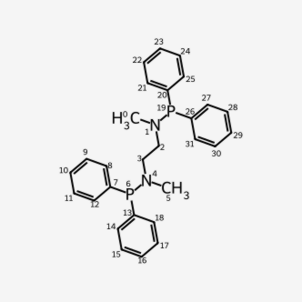 CN(CCN(C)P(c1ccccc1)c1ccccc1)P(c1ccccc1)c1ccccc1